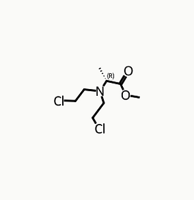 COC(=O)[C@@H](C)N(CCCl)CCCl